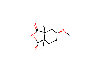 CO[C@H]1CC[C@@H]2C(=O)OC(=O)[C@@H]2C1